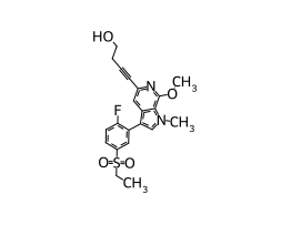 CCS(=O)(=O)c1ccc(F)c(-c2cn(C)c3c(OC)nc(C#CCCO)cc23)c1